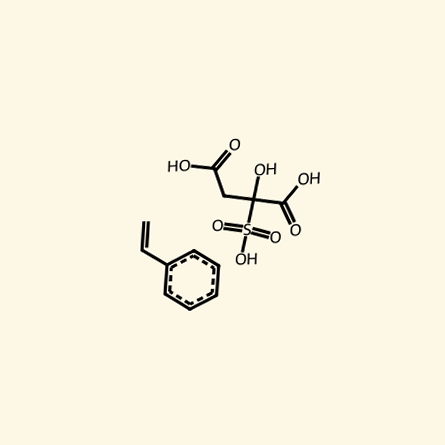 C=Cc1ccccc1.O=C(O)CC(O)(C(=O)O)S(=O)(=O)O